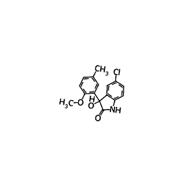 COc1ccc(C)cc1C1(O)C(=O)Nc2ccc(Cl)cc21